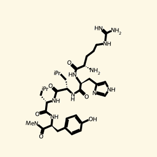 CNC(=O)[C@H](Cc1ccc(O)cc1)NC(=O)[C@H](CC(C)C)NC(=O)[C@H](CC(C)C)NC(=O)[C@H](Cc1c[nH]cn1)NC(=O)[C@@H](N)CCCNC(=N)N